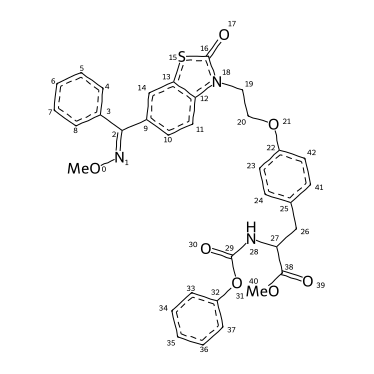 CON=C(c1ccccc1)c1ccc2c(c1)sc(=O)n2CCOc1ccc(CC(NC(=O)Oc2ccccc2)C(=O)OC)cc1